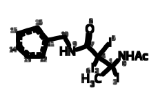 CC(=O)NC(C)(I)C(I)(I)C(=O)NCc1ccccc1